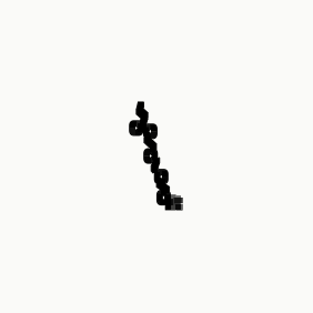 CC=CC(=O)OCCOCCOCCOCC